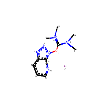 CN(C)C(On1nnc2cccnc21)=[N+](C)C.[P]